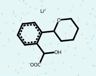 O=C([O-])C(O)c1ccccc1C1CCCCO1.[Li+]